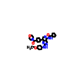 CCO[C@H]1CC[C@H](Nc2ncc3c(NC(=O)c4ccccc4)ncc(-c4ccc(C(=O)N5CCOCC5)cc4)c3n2)CC1